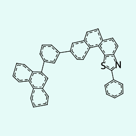 c1ccc(-c2nc3ccc4ccc5cc(-c6cccc(-c7cc8ccccc8c8ccccc78)c6)ccc5c4c3s2)cc1